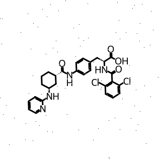 O=C(N[C@@H](Cc1ccc(NC(=O)[C@H]2CCC[C@H](Nc3ccccn3)C2)cc1)C(=O)O)c1c(Cl)cccc1Cl